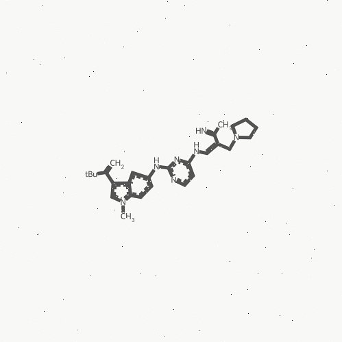 C=C(c1cn(C)c2ccc(Nc3nccc(N/C=C(/CN4CCCC4)C(C)=N)n3)cc12)C(C)(C)C